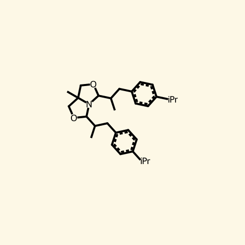 CC(C)c1ccc(CC(C)C2OCC3(C)COC(C(C)Cc4ccc(C(C)C)cc4)N23)cc1